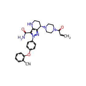 C=CC(=O)N1CCN([C@@H]2CCNc3c2nn(-c2ccc(Oc4ccccc4C#N)cc2)c3C(N)=O)CC1